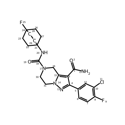 NC(=O)c1c(-c2ccc(F)c(Cl)c2)nn2c1CN(C(=O)NC13CCC(F)(CC1)CC3)CC2